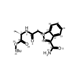 C[C@H](NC(=O)Cn1nc(C(N)=O)c2ccccc21)C(=O)OC(C)(C)C